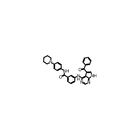 O=C(Nc1ccc(N2CCCCC2)cc1)c1cccc(Nc2ncnc3[nH]cc(C(=O)c4ccccc4)c23)c1